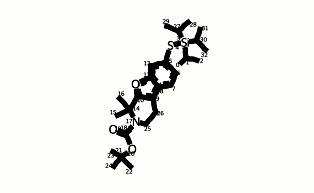 CC(C)[Si](Sc1ccc2c3c(oc2c1)C(C)(C)N(C(=O)OC(C)(C)C)CC3)(C(C)C)C(C)C